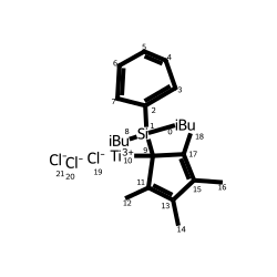 CCC(C)[Si](c1ccccc1)(C(C)CC)[C]1([Ti+3])C(C)=C(C)C(C)=C1C.[Cl-].[Cl-].[Cl-]